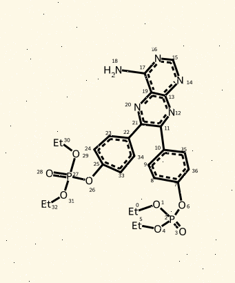 CCOP(=O)(OCC)Oc1ccc(-c2nc3ncnc(N)c3nc2-c2ccc(OP(=O)(OCC)OCC)cc2)cc1